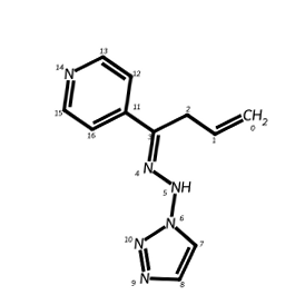 C=CC/C(=N\Nn1ccnn1)c1ccncc1